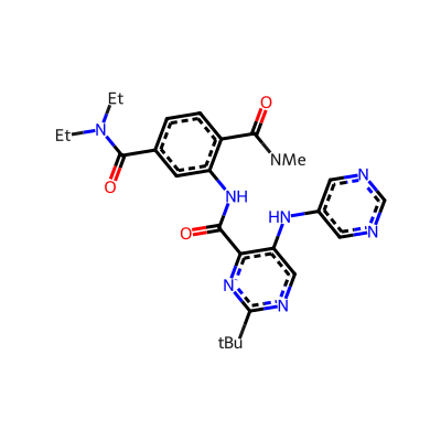 CCN(CC)C(=O)c1ccc(C(=O)NC)c(NC(=O)c2nc(C(C)(C)C)ncc2Nc2cncnc2)c1